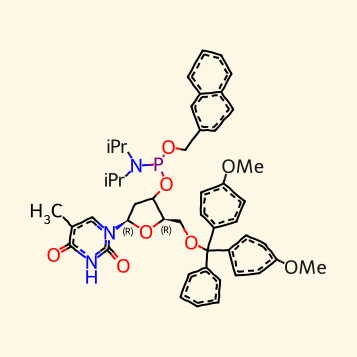 COc1ccc(C(OC[C@H]2O[C@@H](n3cc(C)c(=O)[nH]c3=O)CC2OP(OCc2ccc3ccccc3c2)N(C(C)C)C(C)C)(c2ccccc2)c2ccc(OC)cc2)cc1